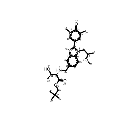 COC(C)Cn1c(-c2cc(C)c(=O)n(C)c2)nc2cc(CN[C@H](C(=O)OCC(C)(C)C)[C@@H](C)O)ccc21